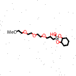 COCCOCCOCCOCCC[Si]1(O)OC2CCCCC2O1